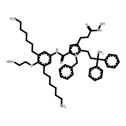 CCCCCCCCCCCCOc1c(CCCCCCN)cc(NC(=O)c2cc(CCC(=O)NO)c(CCC(N)(c3ccccc3)c3ccccc3)n2Cc2ccccc2)cc1CCCCCCN